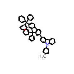 Cc1ccc(-n2c3ccccc3c3cc(-c4ccc5c(c4)C(c4ccccc4)(c4ccccc4)c4cc(C(c6ccccc6)(c6ccccc6)c6ccccc6)ccc4-5)ccc32)cc1